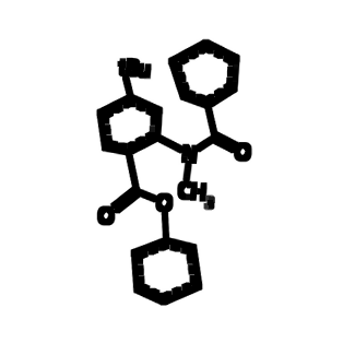 CN(C(=O)c1ccccc1)c1cc(C(C)(C)C)ccc1C(=O)Oc1ccccc1